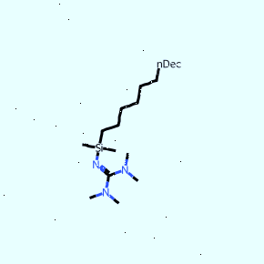 CCCCCCCCCCCCCCCC[Si](C)(C)N=C(N(C)C)N(C)C